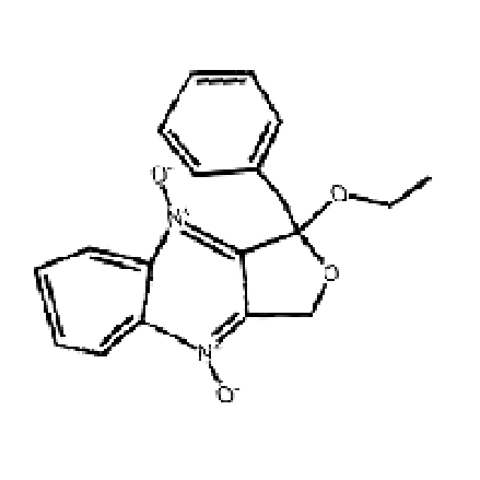 CCOC1(c2ccccc2)OCc2c1[n+]([O-])c1ccccc1[n+]2[O-]